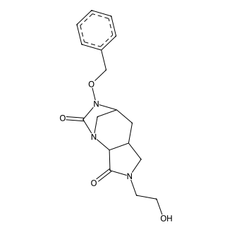 O=C1C2C(CC3CN2C(=O)N3OCc2ccccc2)CN1CCO